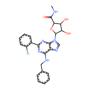 CNC(=O)C1OC(n2cnc3c(NCc4ccccc4)nc(-c4ccccc4Cl)nc32)C(O)C1O